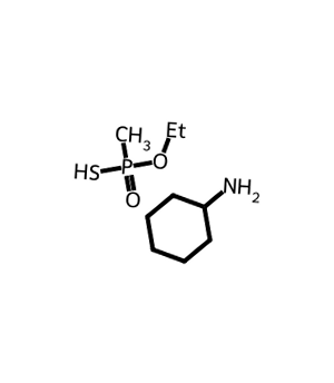 CCOP(C)(=O)S.NC1CCCCC1